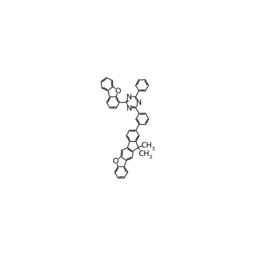 CC1(C)c2cc(-c3cccc(-c4nc(-c5ccccc5)nc(-c5cccc6c5oc5ccccc56)n4)c3)ccc2-c2cc3oc4ccccc4c3cc21